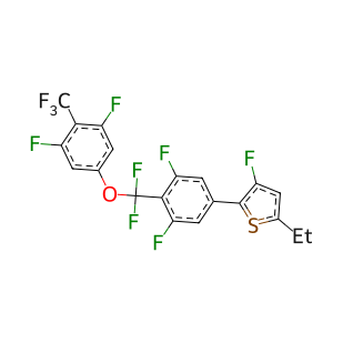 CCc1cc(F)c(-c2cc(F)c(C(F)(F)Oc3cc(F)c(C(F)(F)F)c(F)c3)c(F)c2)s1